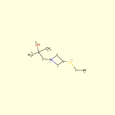 CC(C)CSC1CN(CC(C)(C)O)C1